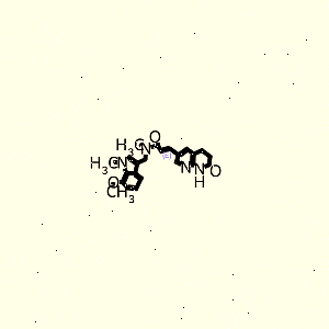 COc1cccc2c(CN(C)C(=O)/C=C/c3cnc4c(c3)CCC(=O)N4)cn(C)c12